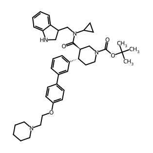 CC(C)(C)OC(=O)N1CC[C@H](c2cccc(-c3ccc(OCCN4CCCCC4)cc3)c2)[C@@H](C(=O)N(CC2CNc3ccccc32)C2CC2)C1